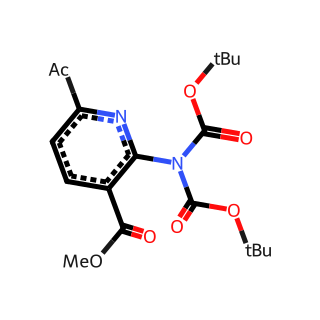 COC(=O)c1ccc(C(C)=O)nc1N(C(=O)OC(C)(C)C)C(=O)OC(C)(C)C